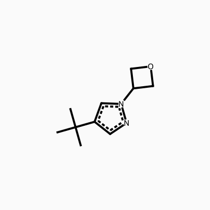 CC(C)(C)c1cnn(C2COC2)c1